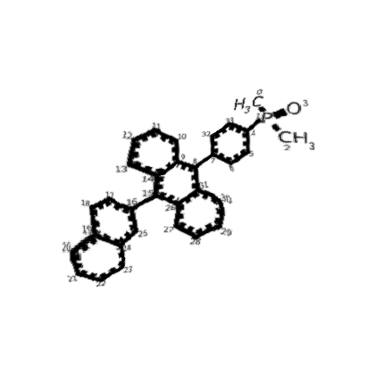 CP(C)(=O)c1ccc(-c2c3ccccc3c(-c3ccc4ccccc4c3)c3ccccc23)cc1